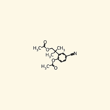 CC(=O)OCC(C)(C)c1cc(C#N)ccc1OC(C)=O